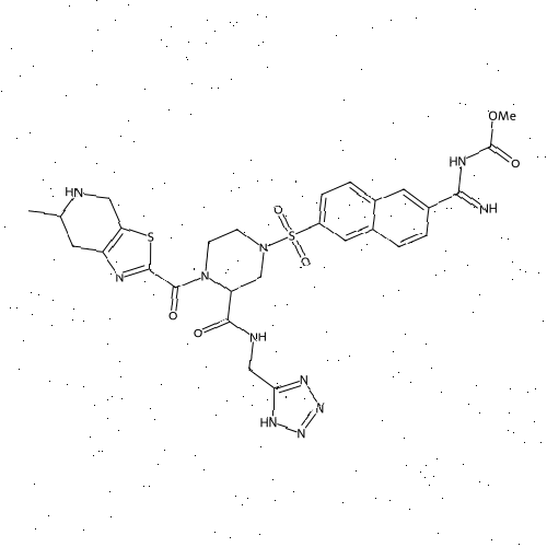 COC(=O)NC(=N)c1ccc2cc(S(=O)(=O)N3CCN(C(=O)c4nc5c(s4)CNC(C)C5)C(C(=O)NCc4nnn[nH]4)C3)ccc2c1